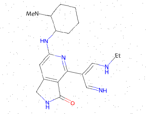 CCN/C=C(\C=N)c1nc(NC2CCCCC2NC)cc2c1C(=O)NC2